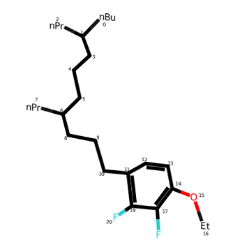 CCCCC(CCC)CCCC(CCC)CCCc1ccc(OCC)c(F)c1F